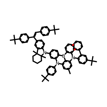 Cc1cc2c3c(c1)N(c1ccc(C(C)(C)C)cc1-c1ccccc1)c1ccccc1B3c1ccc(N3c4ccc(/C(=C\c5ccc(C(C)(C)C)cc5)c5ccc(C(C)(C)C)cc5)cc4C4(C)CCCCC34C)cc1N2c1ccc(C(C)(C)C)cc1